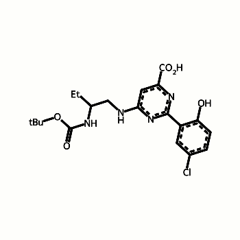 CCC(CNc1cc(C(=O)O)nc(-c2cc(Cl)ccc2O)n1)NC(=O)OC(C)(C)C